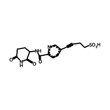 O=C1CCC(NC(=O)c2ccc(C#CCCS(=O)(=O)O)cn2)C(=O)N1